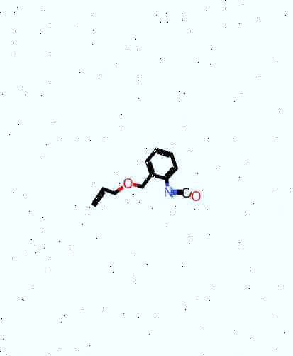 C=CCOCc1ccccc1N=C=O